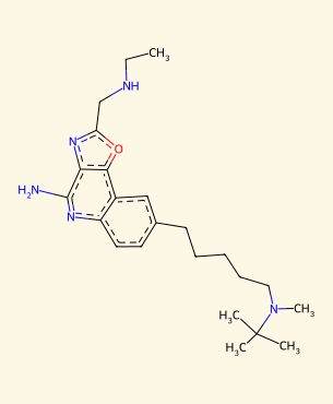 CCNCc1nc2c(N)nc3ccc(CCCCCN(C)C(C)(C)C)cc3c2o1